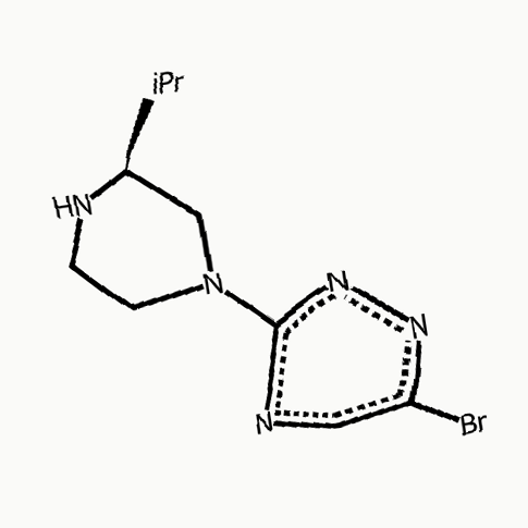 CC(C)[C@H]1CN(c2ncc(Br)nn2)CCN1